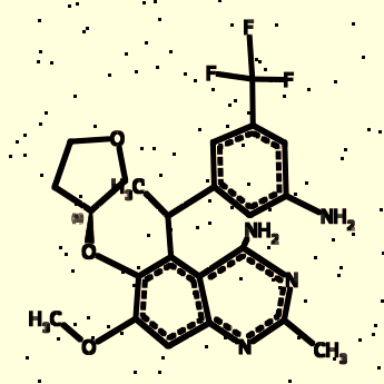 COc1cc2nc(C)nc(N)c2c(C(C)c2cc(N)cc(C(F)(F)F)c2)c1O[C@H]1CCOC1